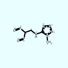 Cn1nnnc1NCC(P=O)P=O